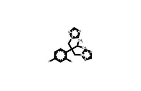 CC(C)C(Cn1cncn1)(Cn1cncn1)c1ccc(F)cc1F